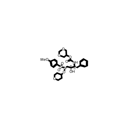 COc1ccc(S(=O)(=O)N(C[C@@H](O)[C@H](Cc2ccccc2)NC(=O)OC2COCOC2)OC2CCOCC2)cc1